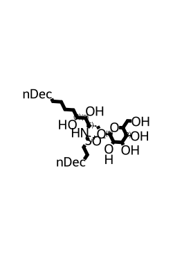 CCCCCCCCCCCCCC[C@@H](O)[C@@H](O)[C@H](CO[C@H]1OC(CO)[C@H](O)C(O)C1O)N[S+]([O-])CCCCCCCCCCCC